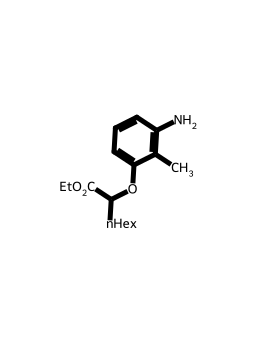 CCCCCCC(Oc1cccc(N)c1C)C(=O)OCC